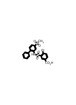 CCc1ccc(C(=O)O)cc1S(=O)(=O)Nc1cc(S(C)(=O)=O)ccc1-c1ccccc1